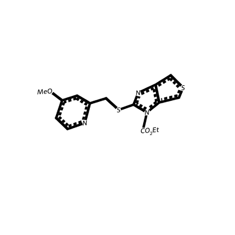 CCOC(=O)n1c(SCc2cc(OC)ccn2)nc2cscc21